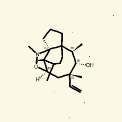 C=C[C@]1(C)C[C@H]2ON(C)[C@@]34CCCC3(CCC(C)C24I)[C@@H](C)[C@@H]1O